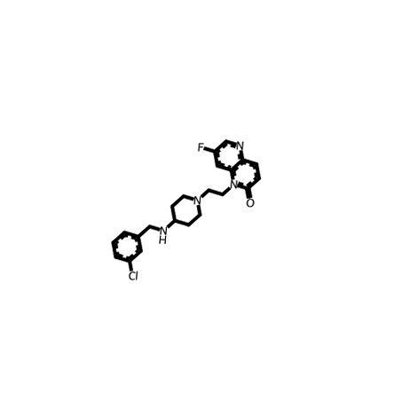 O=c1ccc2ncc(F)cc2n1CCN1CCC(NCc2cccc(Cl)c2)CC1